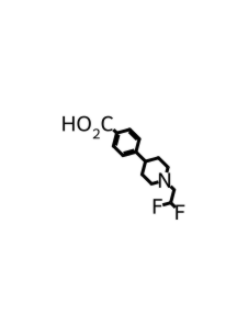 O=C(O)c1ccc(C2CCN(CC(F)F)CC2)cc1